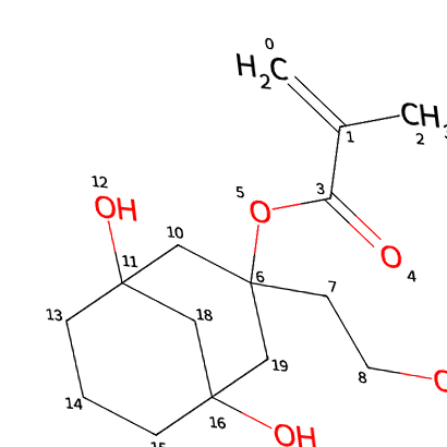 C=C(C)C(=O)OC1(CCO)CC2(O)CCCC(O)(C2)C1